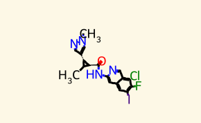 CC1[C@H](C(=O)Nc2cc3cc(I)c(F)c(Cl)c3cn2)[C@H]1c1cnn(C)c1